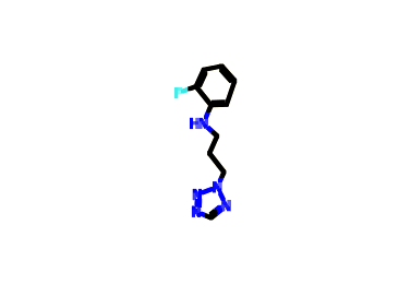 Fc1ccccc1NCCCn1ncnn1